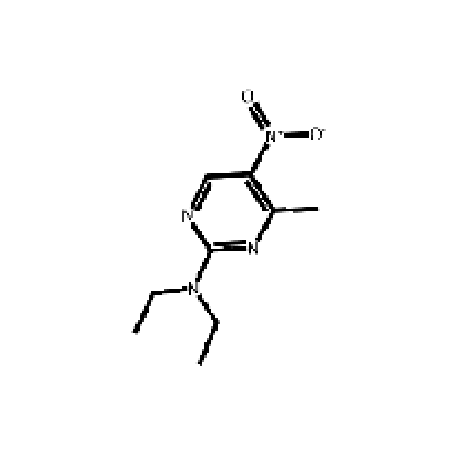 CCN(CC)c1ncc([N+](=O)[O-])c(C)n1